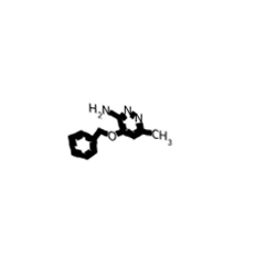 Cc1cc(OCc2ccccc2)c(N)nn1